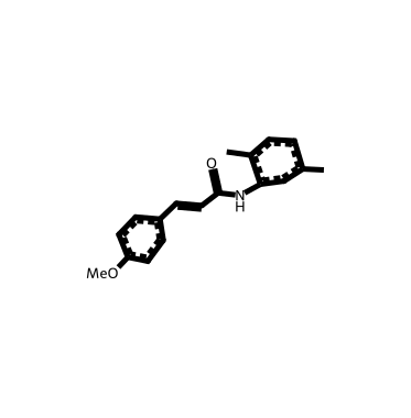 COc1ccc(/C=C/C(=O)Nc2cc(C)ccc2C)cc1